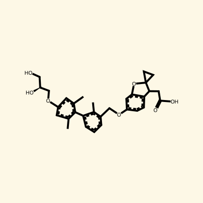 Cc1cc(OC[C@@H](O)CO)cc(C)c1-c1cccc(COc2ccc3c(c2)OC2(CC2)C3CC(=O)O)c1C